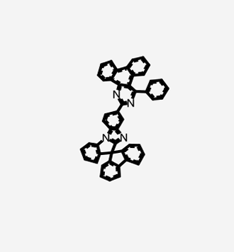 c1ccc(-c2nc(-c3ccc4c(c3)nc3n4-c4ccccc4C34c3ccccc3-c3ccccc34)nc3c4ccccc4c4ccccc4c23)cc1